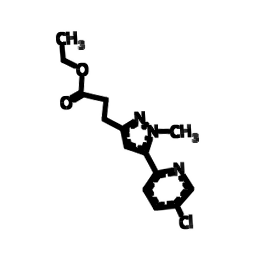 CCOC(=O)CCc1cc(-c2ccc(Cl)cn2)n(C)n1